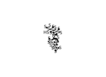 Cc1sc(S(=S)(=S)S(=S)(=S)S(=S)(=S)S(=S)(=S)S)nc1S(=S)(=S)S(=S)(=S)S(=S)(=S)[SH](=S)=S